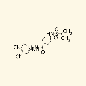 CC(C)S(=O)(=O)N[C@H]1CC[C@H](C(=O)NNc2ccc(Cl)c(Cl)c2)CC1